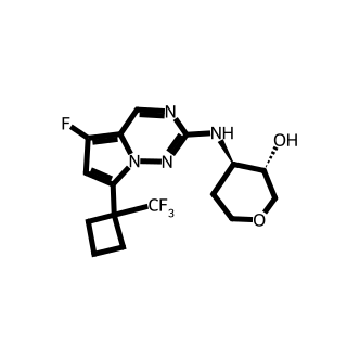 O[C@@H]1COCC[C@H]1Nc1ncc2c(F)cc(C3(C(F)(F)F)CCC3)n2n1